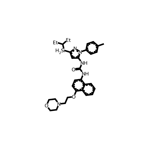 CCC(CC)[SiH2]c1cc(NC(=O)Nc2ccc(OCCN3CCOCC3)c3ccccc23)n(-c2ccc(C)cc2)n1